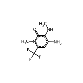 CNc1c(N)cc(C(F)(F)F)n(C)c1=O